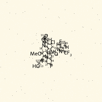 COc1cc(-c2ccc(Cl)c3c(NS(C)(=O)=O)nn(C)c23)c([C@H](Cc2cc(F)cc(F)c2)NC(=O)Cn2nc(C(F)(F)F)c3c2C(F)(F)C2C[C@H]32)nc1C#CC(C)(C)O